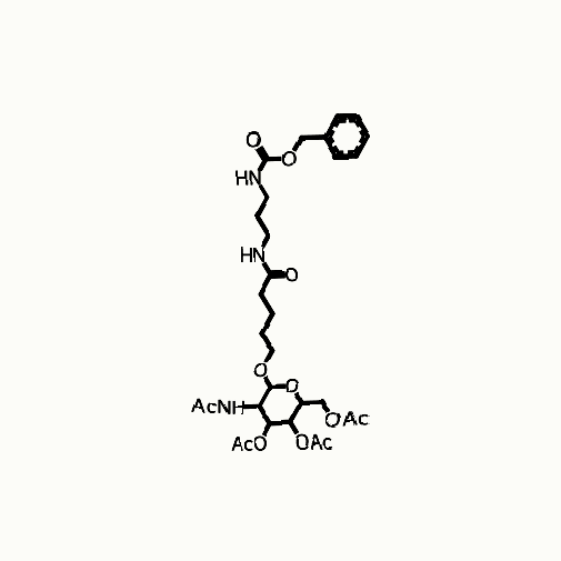 CC(=O)NC1C(OCCCCC(=O)NCCCNC(=O)OCc2ccccc2)OC(COC(C)=O)C(OC(C)=O)C1OC(C)=O